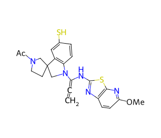 C=C=C(Nc1nc2ccc(OC)nc2s1)N1CC2(CCN(C(C)=O)C2)c2cc(S)ccc21